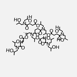 CC(O)CN(CC(C)O)C(=O)CCC(=O)OC(C)CN(CC(C)OC(=O)CCC(=O)N(CC(C)O)CC(C)O)C(=O)CCC(=O)N(CC(C)OC(=O)CCC(=O)N(CC(C)O)CC(C)O)C[C@@H](C)OC(=O)CCC(=O)N(CC(C)O)CC(C)O